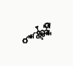 Cc1[nH]c(C=C2C(=O)NN=C2c2nccnn2)c(C2CC2)c1CCCNCc1ccccc1